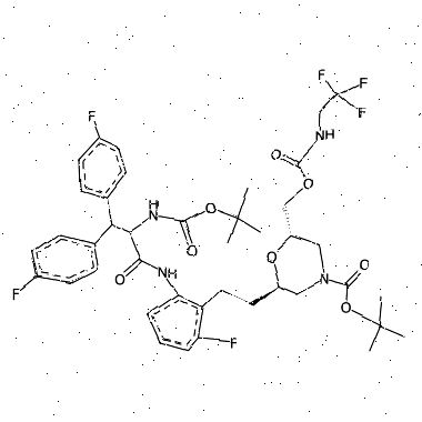 CC(C)(C)OC(=O)NC(C(=O)Nc1cccc(F)c1CC[C@@H]1CN(C(=O)OC(C)(C)C)C[C@@H](COC(=O)NCC(F)(F)F)O1)C(c1ccc(F)cc1)c1ccc(F)cc1